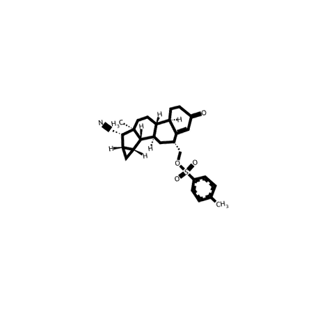 Cc1ccc(S(=O)(=O)OC[C@@H]2C[C@@H]3[C@H](CC[C@@]4(C)[C@H]3[C@@H]3C[C@@H]3[C@@H]4C#N)[C@H]3CCC(=O)C=C23)cc1